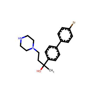 CC(O)(CCN1CCNCC1)c1ccc(-c2ccc(Br)cc2)cc1